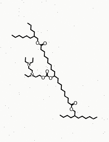 CCCCCCC(CCCC)COC(=O)CCCCCCCCC(CCCCCCCCC(=O)OCC(CCCC)CCCCCC)OC(=O)OCCN(CC)CCN(CC)CC